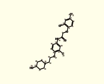 O=C(COc1ccc(C(F)(F)F)cc1Cl)Nc1ccc(OCCN2CCC(O)CC2)c(Cl)c1